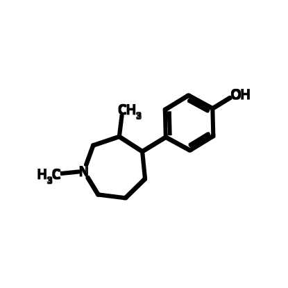 CC1CN(C)CCCC1c1ccc(O)cc1